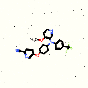 COc1ccncc1N(c1ccc(C(F)(F)F)cc1)C1CCC(Oc2ccc(C#N)nc2)CC1